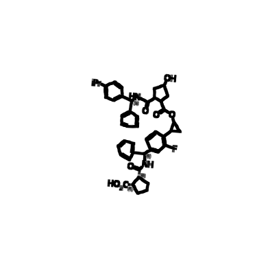 CC(C)c1ccc([C@@H](NC(=O)C2CC(O)CC2C(=O)OC2CC2c2ccc([C@@H](NC(=O)[C@@H]3CCC[C@@H]3C(=O)O)c3ccccc3)cc2F)c2ccccc2)cc1